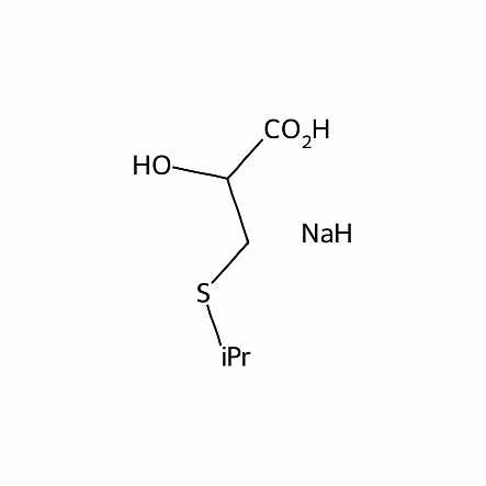 CC(C)SCC(O)C(=O)O.[NaH]